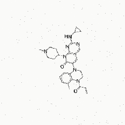 C=CC(=O)N1CCN(c2cc3cnc(NC4CC4)nc3n(C3CCN(C)CC3)c2=O)c2cccc(C)c21